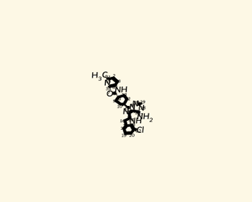 Cc1ccc(NC(=O)[C@H]2CC[C@H](c3nc(C4Cc5cccc(Cl)c5N4)c4c(N)ncnn43)CC2)cn1